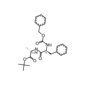 C[C@H](NC(=O)[C@H](Cc1ccccc1)NC(=O)OCc1ccccc1)C(=O)OC(C)(C)C